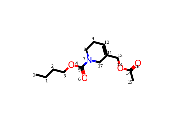 CCCCOC(=O)N1CCC=C(COC(C)=O)C1